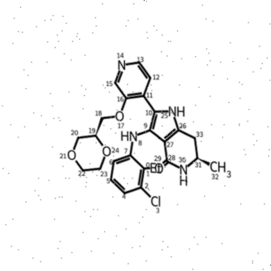 CCc1c(Cl)cccc1Nc1c(-c2ccncc2OC[C@@H]2COCCO2)[nH]c2c1C(=O)N[C@H](C)C2